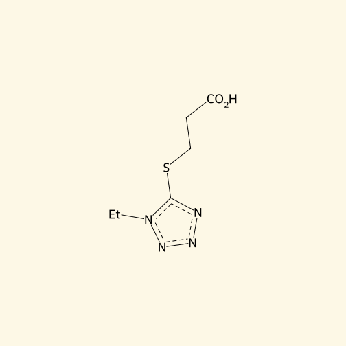 CCn1nnnc1SCCC(=O)O